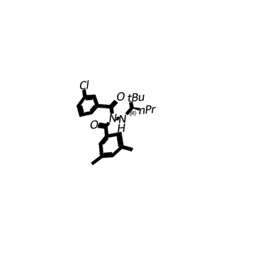 CCC[C@@H](NN(C(=O)c1cc(C)cc(C)c1)C(=O)c1cccc(Cl)c1)C(C)(C)C